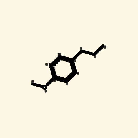 CCCc1ccc(OC)nc1